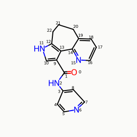 O=C(Nc1ccncc1)c1c[nH]c2c1-c1ncccc1CCC2